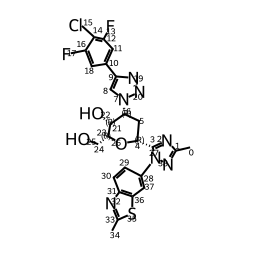 Cc1nc([C@H]2C[C@@H](n3cc(-c4cc(F)c(Cl)c(F)c4)nn3)[C@@H](O)[C@@H](CO)O2)n(-c2ccc3nc(C)sc3c2)n1